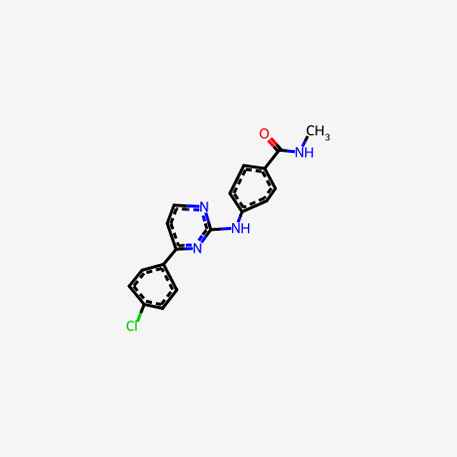 CNC(=O)c1ccc(Nc2nccc(-c3ccc(Cl)cc3)n2)cc1